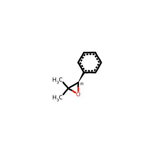 CC1(C)O[C@@H]1c1ccccc1